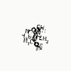 CC[C@H]1CN(C(C)c2ccc(C(F)(F)F)cc2)[C@H](CC)CN1c1nc(=O)n(C)c2ccc(C#N)nc12